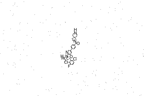 CC(Oc1cc(-c2ccc(C(=O)N3CCC4(CCNCC4)C3)cc2)cnc1N)c1c(Cl)ccc(F)c1Cl